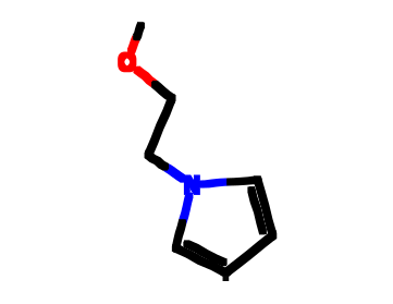 COCCn1c[c]cc1